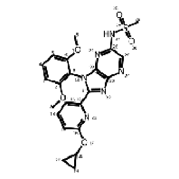 COc1cccc(OC)c1-n1c(-c2cccc(OC3CC3)n2)nc2ncc(NS(C)(=O)=O)nc21